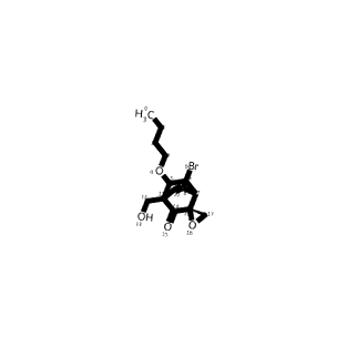 CCCCOC1CC2C(Br)=CC1(CO)C(=O)[C@]21CO1